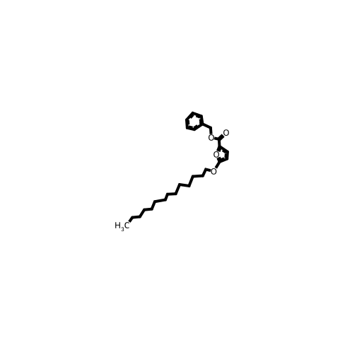 CCCCCCCCCCCCCCOc1ccc(C(=O)OCc2ccccc2)o1